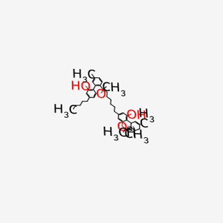 CCCCCc1cc(O)c2c(c1)OC(C)(CCCCCCc1cc(O)c3c(c1)OC(C)(C)[C@@H]1CCC(C)=CC31)c1ccc(C)cc1-2